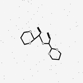 C=CC(OC(C=C)C1OCCCO1)C1OCCCO1